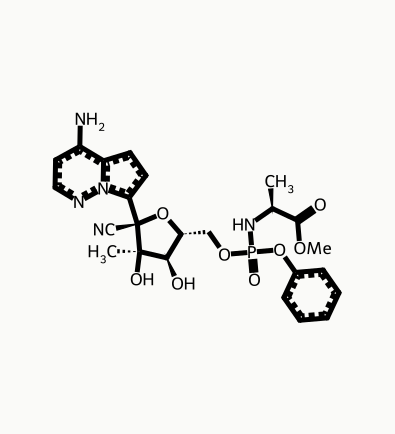 COC(=O)[C@H](C)NP(=O)(OC[C@H]1O[C@@](C#N)(c2ccc3c(N)ccnn23)[C@](C)(O)[C@@H]1O)Oc1ccccc1